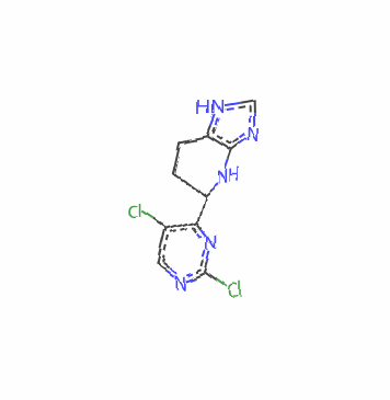 Clc1ncc(Cl)c(C2CCc3[nH]cnc3N2)n1